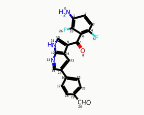 Nc1ccc(F)c(C(=O)c2c[nH]c3ncc(-c4ccc(C=O)cc4)cc23)c1F